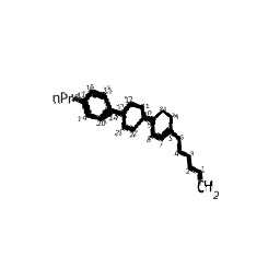 C=CCCCCC1=CCC(C2CCC(c3ccc(CCC)cc3)CC2)CC1